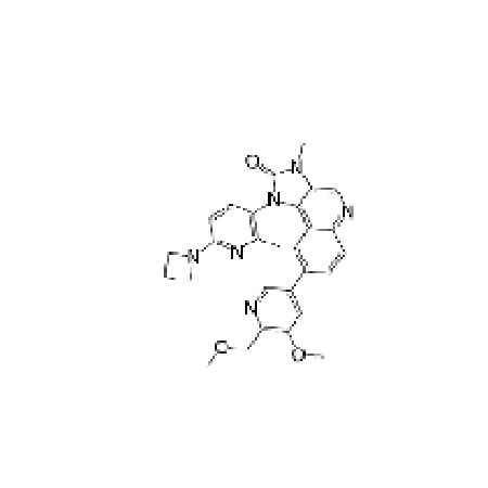 COCc1ncc(-c2ccc3ncc4c(c3c2)n(-c2ccc(N3CCC3)nc2C)c(=O)n4C)cc1OC